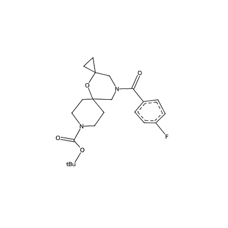 CC(C)(C)OC(=O)N1CCC2(CC1)CN(C(=O)c1ccc(F)cc1)CC1(CC1)O2